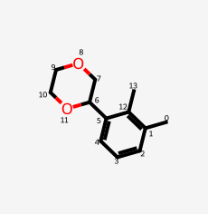 Cc1cccc(C2COCCO2)c1C